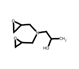 [CH2]C(O)CN(CC1CO1)CC1CO1